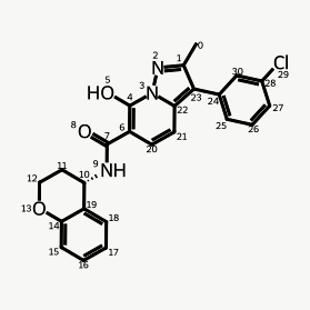 Cc1nn2c(O)c(C(=O)N[C@H]3CCOc4ccccc43)ccc2c1-c1cccc(Cl)c1